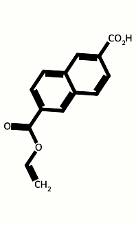 C=COC(=O)c1ccc2cc(C(=O)O)ccc2c1